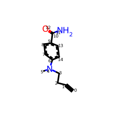 C#CCCN(C)c1ccc(C(N)=O)cc1